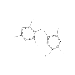 CCc1cc(O)c(C(C)C)cc1Oc1c(Br)cc(N)cc1Br